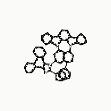 c1ccc(-c2ccc(-n3c4ccccc4c4ccc5c6ccccc6n(-c6cccc(-n7c(-c8ccccc8)nc8c9ccccc9c9ccccc9c87)c6)c5c43)cc2)cc1